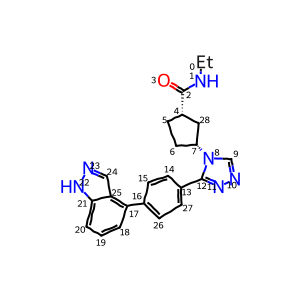 CCNC(=O)[C@H]1CC[C@@H](n2cnnc2-c2ccc(-c3cccc4[nH]ncc34)cc2)C1